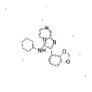 c1cc2c(c(-c3nc4cnccn4c3NC3CCCCC3)c1)OCO2